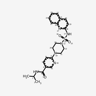 CC(C)NC(=O)c1ccc(N2CCN(S(=O)(=O)Nc3ccc4ccccc4n3)CC2)nc1